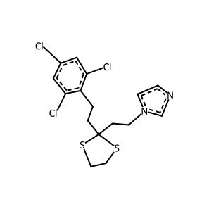 Clc1cc(Cl)c(CCC2(CCn3ccnc3)SCCS2)c(Cl)c1